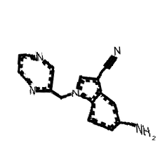 N#Cc1cn(Cc2cnccn2)c2ccc(N)cc12